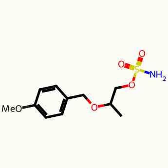 COc1ccc(COC(C)COS(N)(=O)=O)cc1